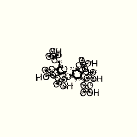 O=S(=O)(O)OC[C@H]1C[C@H](O[C@@H]2O[C@H](COS(=O)(=O)O)C(OS(=O)(=O)O)[C@@H]2OS(=O)(=O)O)C[C@@H](OS(=O)(=O)O)[C@@H]1OS(=O)(=O)O